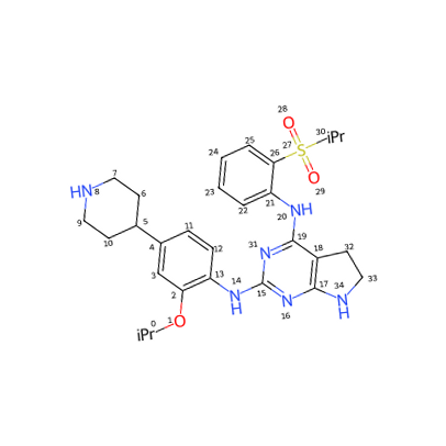 CC(C)Oc1cc(C2CCNCC2)ccc1Nc1nc2c(c(Nc3ccccc3S(=O)(=O)C(C)C)n1)CCN2